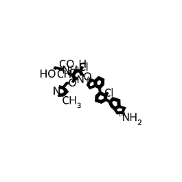 Cc1cncc(COc2nc(O[C@H]3CCc4c(-c5cccc(-c6ccc7c(c6)C[C@@H](N)C7)c5Cl)cccc43)c(Cl)cc2CNC(C)(CO)C(=O)O)c1